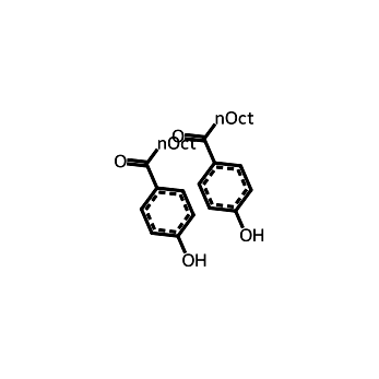 CCCCCCCCC(=O)c1ccc(O)cc1.CCCCCCCCC(=O)c1ccc(O)cc1